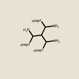 CCCCCCCC(N)[C](C(N)CCCCCCC)C(N)CCCCCCC